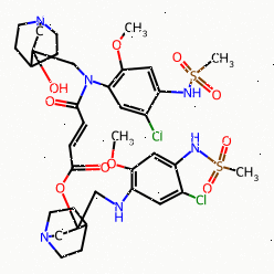 COc1cc(NS(C)(=O)=O)c(Cl)cc1NCC1(OC(=O)/C=C/C(=O)N(CC2(O)CN3CCC2CC3)c2cc(Cl)c(NS(C)(=O)=O)cc2OC)CN2CCC1CC2